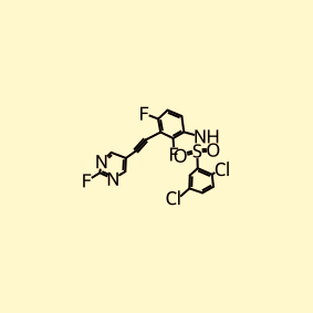 O=S(=O)(Nc1ccc(F)c(C#Cc2cnc(F)nc2)c1F)c1cc(Cl)ccc1Cl